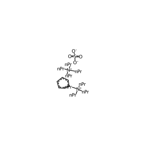 CCC[N+](CCC)(CCC)CCC.CCC[N+](CCC)(CCC)CCC.O=S(=O)([O-])[O-].c1ccccc1